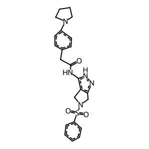 O=C(Cc1ccc(N2CCCC2)cc1)Nc1[nH]nc2c1CN(S(=O)(=O)c1ccccc1)C2